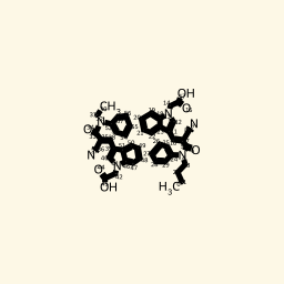 CCCCN(C(=O)/C(C#N)=C/c1cn(CC(=O)O)c2ccccc12)c1ccccc1.CCN(C(=O)/C(C#N)=C/c1cn(CC(=O)O)c2ccccc12)c1ccccc1